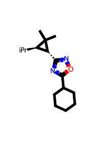 CC(C)[C@@H]1[C@@H](c2noc(C3CCCCC3)n2)C1(C)C